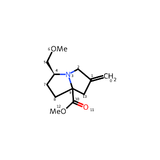 C=C1CN2[C@H](COC)CCC2(C(=O)OC)C1